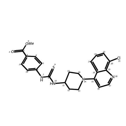 COC(=O)c1ccc(NC(=S)NC2CCN(c3ccnc4c(Cl)cccc34)CC2)cc1